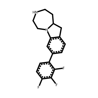 Fc1ccc(-c2ccc3c(c2)N2CCNCCC2C3)c(F)c1F